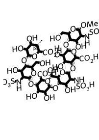 CO[C@H]1OC(CO)[C@@H](O[C@@H]2OC(C(=O)O)[C@@H](O[C@H]3OC(CO)[C@@H](O[C@@H]4OC(C(=O)O)[C@@H](O[C@H]5OC(CO)[C@@H](O[C@@H]6OC(C(=O)O)[C@@H](C)C(O)C6O)C(O)C5NS(=O)(=O)O)C(O)C4O)C(O)C3NS(=O)(=O)O)C(O)C2O)C(O)C1NS(=O)(=O)O